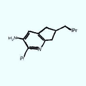 CC(C)CC1Cc2cc(N)c(C(C)C)nc2C1